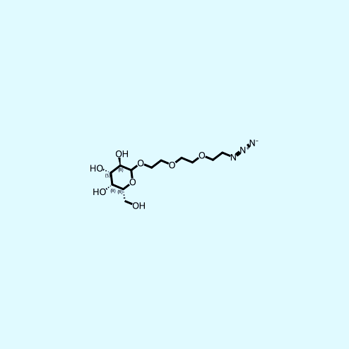 [N-]=[N+]=NCCOCCOCCOC1O[C@H](CO)[C@H](O)[C@H](O)[C@H]1O